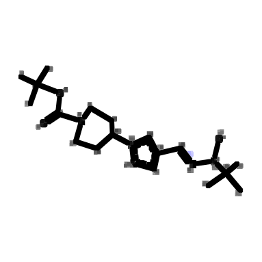 CC(C)(C)OC(=O)N1CCC(n2cc(/C=N/[S+]([O-])C(C)(C)C)cn2)CC1